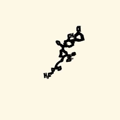 CCOC(=O)CSc1ccc(C(=O)N2CCN(c3cccc(Cl)c3)C(C)C2)cc1[N+](=O)[O-]